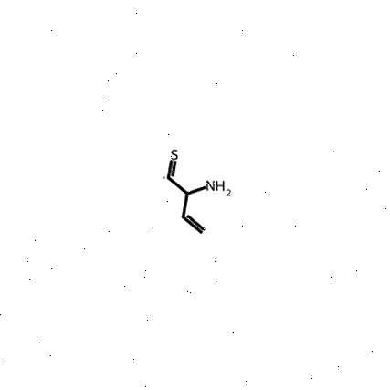 C=CC(N)[C]=S